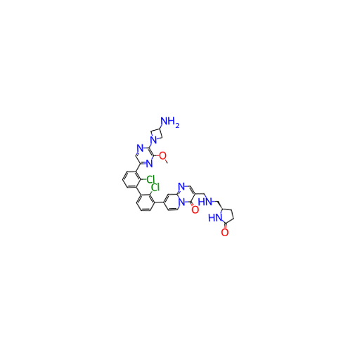 COc1nc(-c2cccc(-c3cccc(-c4ccn5c(=O)c(CNC[C@H]6CCC(=O)N6)cnc5c4)c3Cl)c2Cl)cnc1N1CC(N)C1